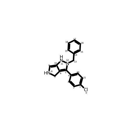 Clc1ccc(C2=C3CNC=C3NN2Cc2ccccc2)cc1